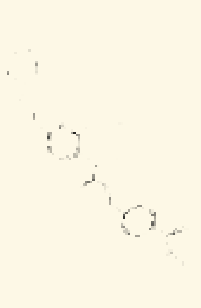 CCO[C@H](C(=O)NCc1ccc(C(=N)N)cc1)c1c(F)cc(OCCN2CCOCC2)cc1F.Cl.Cl